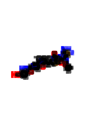 Nc1nc(/C(=N/OC2CCCC2)C(=O)N[C@@H]2C(=O)N3C(C(=O)[O-])=C(C=C4CCN(Cc5ccc[n+](CC(=O)Nc6cccc(O)c6)c5)C4=O)CS[C@H]23)cs1